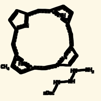 C.C1=Cc2cc3ccc(cc4nc(cc5ccc(cc1n2)[nH]5)C=C4)[nH]3.CCCCCCCCCCNNNN